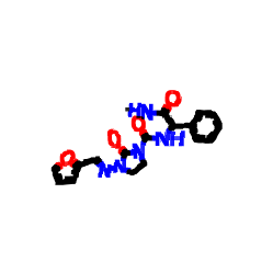 [NH]C(=O)C(NC(=O)N1CCN(N=Cc2ccco2)C1=O)c1ccccc1